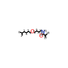 CC(C)CCCCOCCCCN(C)C(=O)C(C)C